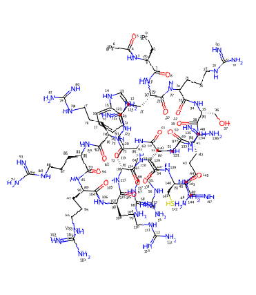 CC(C)C[C@H](NC(=O)C(C)C)C(=O)N[C@@H](Cc1c[nH]c2ccccc12)C(=O)NC(CCCNC(=N)N)C(=O)N[C@H](CO)C(=O)N[C@H](CCCNC(=N)N)C(=O)N[C@H](CCCNC(=N)N)C(=O)N[C@H](CCCNC(=N)N)C(=O)N[C@H](CCCNC(=N)N)C(=O)N[C@H](CCCNC(=N)N)C(=O)N[C@H](CCCNC(=N)N)C(=O)N[C@H](CCCNC(=N)N)C(=O)N[C@H](CCCNC(=N)N)C(=O)N[C@H](CCCNC(=N)N)C(=O)N[C@H](CS)C(N)=O